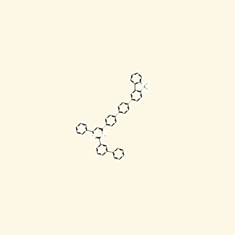 C[Si]1(C)c2ccccc2-c2cc(-c3ccc(-c4ccc(-c5cc(-c6ccccc6)nc(-c6cccc(-c7ccccc7)c6)n5)cc4)cc3)ccc21